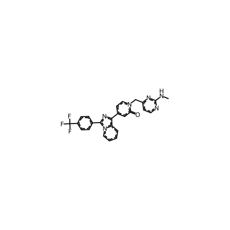 CNc1nccc(Cn2ccc(-c3nc(-c4ccc(C(F)(F)F)cc4)n4ccccc34)cc2=O)n1